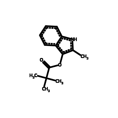 Cc1[nH]c2ccccc2c1OC(=O)C(C)(C)C